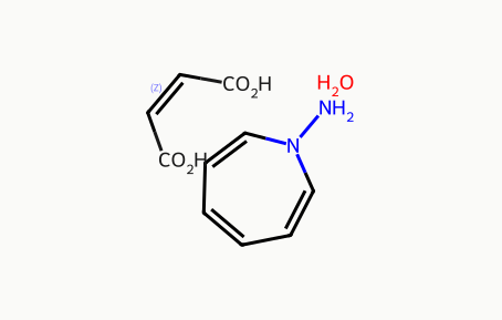 NN1C=CC=CC=C1.O.O=C(O)/C=C\C(=O)O